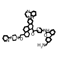 C1=CNc2ccccc2N=C1.NCc1ccc(-c2ccccc2C(=O)Nc2ccc(C(=O)C3Cc4ccccc4-c4ccc5c(c43)CCCC5CC(=O)N3CCN(c4ccccn4)CC3)cc2)cc1